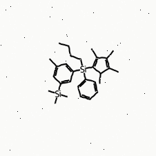 CCCC[Si](C1=C(C)C(C)=C(C)C1C)(c1ccccc1)c1cc(C)cc([Si](C)(C)C)c1